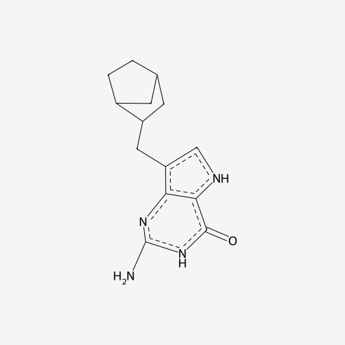 Nc1nc2c(CC3CC4CCC3C4)c[nH]c2c(=O)[nH]1